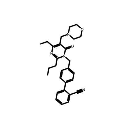 CCCc1nc(CC)c(CN2CCOCC2)c(=O)n1Cc1ccc(-c2ccccc2C#N)cc1